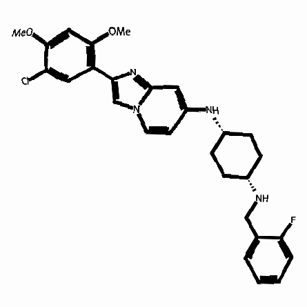 COc1cc(OC)c(-c2cn3ccc(N[C@H]4CC[C@@H](NCc5ccccc5F)CC4)cc3n2)cc1Cl